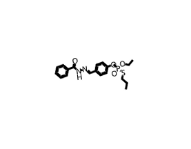 CCCSP(=O)(OCC)Oc1ccc(C=NNC(=O)c2ccccc2)cc1